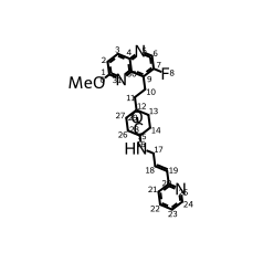 COc1ccc2ncc(F)c(CCC34CCC(NCC=Cc5ccccn5)(CC3)CO4)c2n1